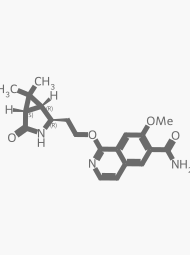 COc1cc2c(OCC[C@H]3NC(=O)[C@H]4[C@@H]3C4(C)C)nccc2cc1C(N)=O